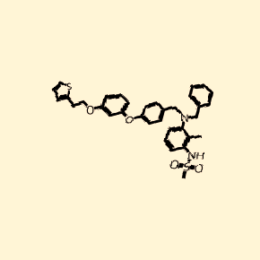 Cc1c(NS(C)(=O)=O)cccc1N(Cc1ccccc1)Cc1ccc(Oc2cccc(OCCc3cccs3)c2)cc1